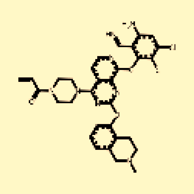 C=CC(=O)N1CCN(c2nc(Oc3cccc4c3CCN(C)C4)nc3c(Oc4c(Cl)c(Cl)cc(N)c4C=N)nccc23)CC1